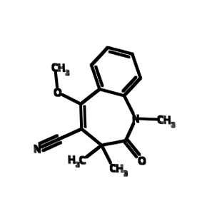 COC1=C(C#N)C(C)(C)C(=O)N(C)c2ccccc21